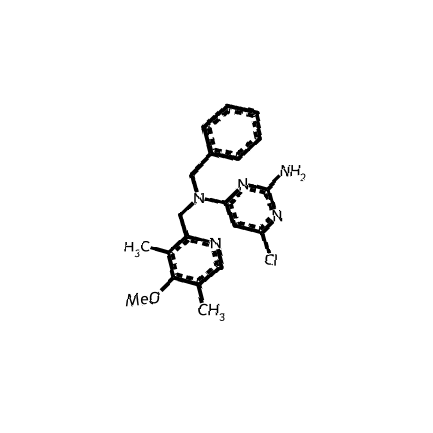 COc1c(C)cnc(CN(Cc2ccccc2)c2cc(Cl)nc(N)n2)c1C